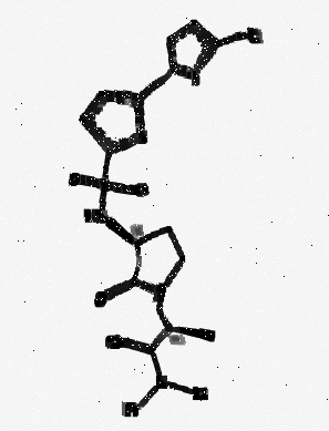 CCN(C(=O)[C@H](C)N1CC[C@H](NS(=O)(=O)c2ccc(-c3ccc(Cl)s3)s2)C1=O)C(C)C